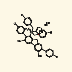 Cl.Cl.[CH2]=[Zr]([CH2]c1ccc(Cl)cc1)([CH2]c1ccc(Cl)cc1)([C]1=CC=CC1)[c]1c2c(cc(C(C)(C)C)c1-c1ccc(Cl)cc1)-c1cc(C(C)(C)C)c(-c3ccc(Cl)cc3)cc1C2